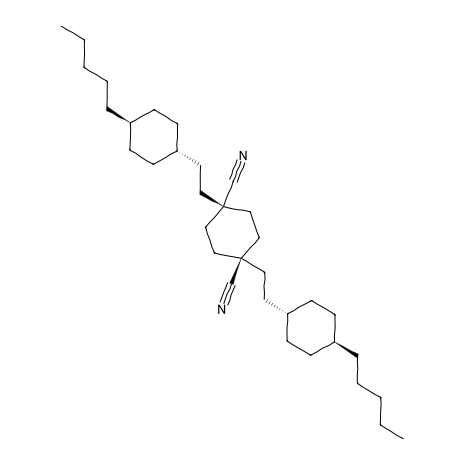 CCCCC[C@H]1CC[C@H](CC[C@]2(C#N)CC[C@@](C#N)(CC[C@H]3CC[C@H](CCCCC)CC3)CC2)CC1